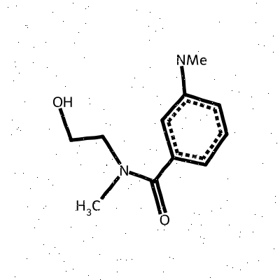 CNc1cccc(C(=O)N(C)CCO)c1